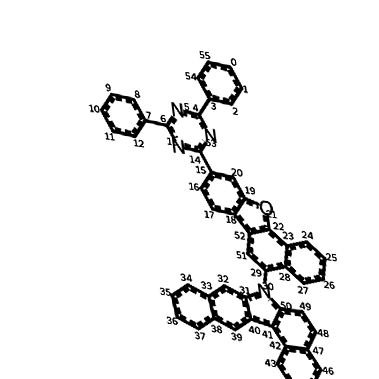 c1ccc(-c2nc(-c3ccccc3)nc(-c3ccc4c(c3)oc3c5ccccc5c(-n5c6cc7ccccc7cc6c6c7ccccc7ccc65)cc43)n2)cc1